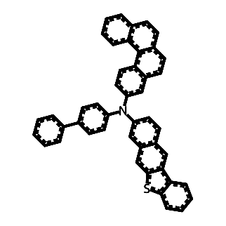 c1ccc(-c2ccc(N(c3ccc4cc5c(cc4c3)sc3ccccc35)c3ccc4c(ccc5ccc6ccccc6c54)c3)cc2)cc1